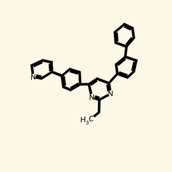 CCc1nc(-c2ccc(-c3cccnc3)cc2)cc(-c2cccc(-c3ccccc3)c2)n1